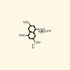 O.O.O=C([O-])c1cc(C(=O)[O-])c2cc(C(=O)[O-])cc(C(=O)[O-])c2c1.[K+].[K+].[K+].[K+]